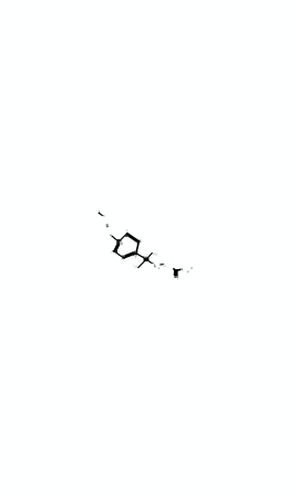 CSSc1ccc(C(C)(C)NOC(=O)O)cc1